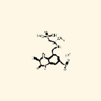 C[C@@H](CP(=O)(O)O)NCc1cc([N+](=O)[O-])cc2[nH]c(=O)c(=O)[nH]c12.Cl